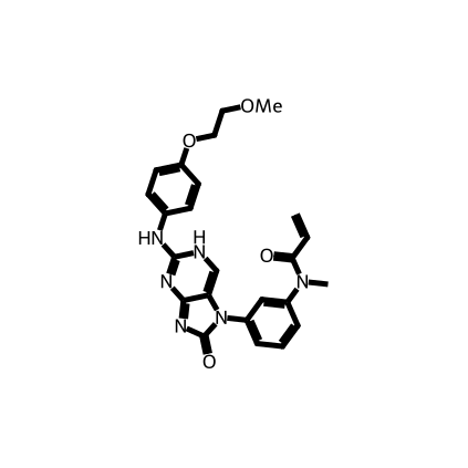 C=CC(=O)N(C)c1cccc(-n2c3c[nH]c(Nc4ccc(OCCOC)cc4)nc-3nc2=O)c1